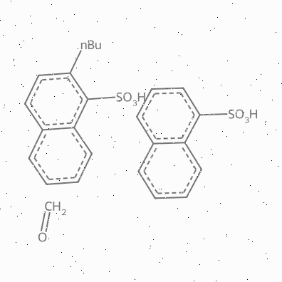 C=O.CCCCc1ccc2ccccc2c1S(=O)(=O)O.O=S(=O)(O)c1cccc2ccccc12